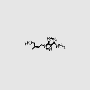 CC(=CCn1cnc2c(N)ncnc21)CO